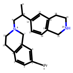 CC(C)c1ccc2c(c1)CN(CC(C)c1ccc3c(c1)CCNC3)CC2